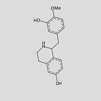 COc1ccc(CC2NCCc3cc(O)ccc32)cc1O